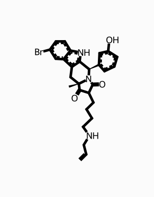 C=CCNCCCCC1C(=O)N2[C@H](c3cccc(O)c3)c3[nH]c4ccc(Br)cc4c3C[C@@]2(C)C1=O